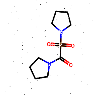 O=C(N1CCCC1)S(=O)(=O)N1CCCC1